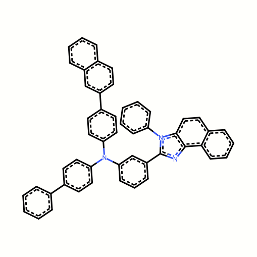 c1ccc(-c2ccc(N(c3ccc(-c4ccc5ccccc5c4)cc3)c3cccc(-c4nc5c6ccccc6ccc5n4-c4ccccc4)c3)cc2)cc1